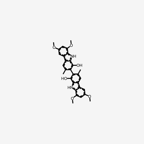 COc1cc(OC)c2[nH]c3c(O)c(-c4c(C)cc5c([nH]c6c(OC)cc(OC)cc65)c4O)c(C)cc3c2c1